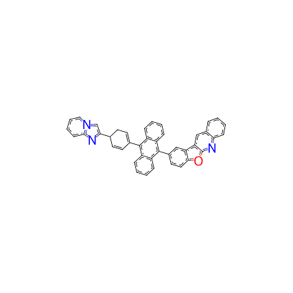 C1=CC(c2cn3ccccc3n2)CC=C1c1c2ccccc2c(-c2ccc3oc4nc5ccccc5cc4c3c2)c2ccccc12